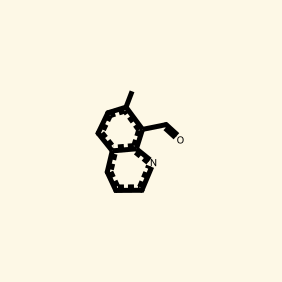 Cc1ccc2cccnc2c1C=O